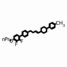 CCCOc1ccc(-c2ccc(CC/C=C/C3CCC(c4ccc(C)cc4)CC3)cc2)c(F)c1F